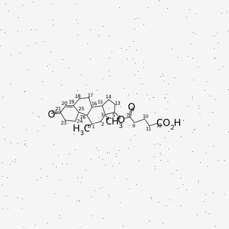 CC1CC2(C)C(OC(=O)CCCC(=O)O)CCC2C2CCC3=CC(=O)CCC3C12